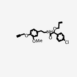 C#CCOc1ccc(CCNC(=O)C(OCC=C)c2ccc(Cl)cc2)cc1OC